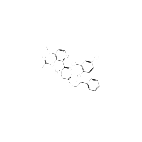 COc1ccnc(C(=S)N[C@@H](C)C(=O)O[C@@H](C)[C@H](Oc2ccc(Cl)cc2Cl)c2ccccc2)c1OC(C)=O